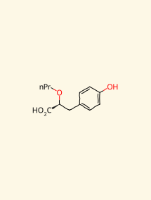 CCCO[C@@H](Cc1ccc(O)cc1)C(=O)O